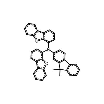 CC1(C)c2ccccc2-c2ccc(N(c3cccc4c3oc3ccccc34)c3cccc4c3oc3ccccc34)cc21